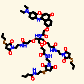 CCCSC1CC(=O)N(CCNC(=O)CCOCC(COCCC(=O)NCCN2C(=O)CC(SCCC)C2=O)(COCCC(=O)NCCN2C(=O)CC(SCCNC(=O)CCC)C2=O)NC(=O)COc2ccc3c(=O)cc4oc5cc(N(CC)CC)ccc5nc-4c3c2)C1=O